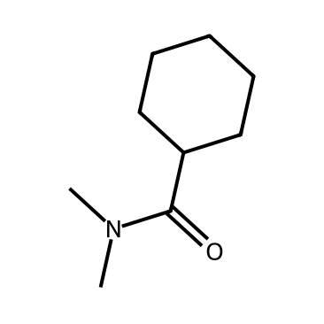 CN(C)C(=O)C1CCCCC1